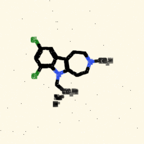 CCOC(=O)Cn1c2c(c3cc(Cl)cc(Cl)c31)CCN(C(=O)O)CC2.[H-].[Na+]